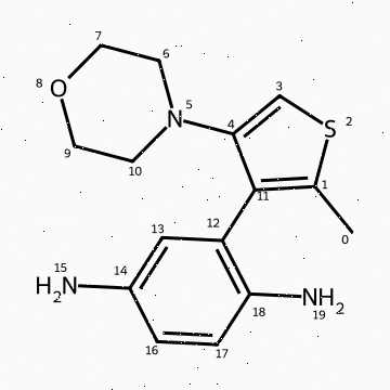 Cc1scc(N2CCOCC2)c1-c1cc(N)ccc1N